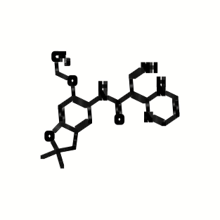 CC1(C)Cc2cc(NC(=O)/C(C=N)=C3\N=CC=CN3)c(OCC(F)(F)F)cc2O1